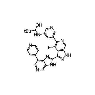 CC(C)(C)C(O)Nc1cncc(-c2ncc3[nH]nc(-c4nc5c(-c6ccncc6)cncc5[nH]4)c3c2F)c1